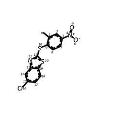 Cc1cc([N+](=O)[O-])ccc1Sc1nc2cc(Cl)ccc2s1